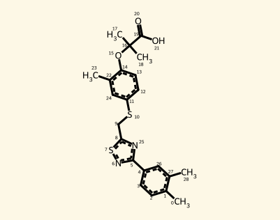 Cc1ccc(-c2nsc(CSc3ccc(OC(C)(C)C(=O)O)c(C)c3)n2)cc1C